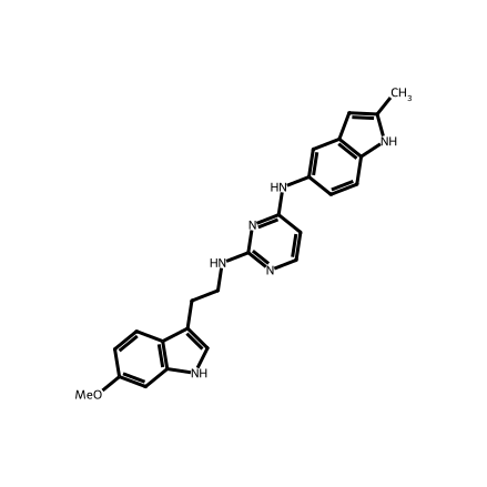 COc1ccc2c(CCNc3nccc(Nc4ccc5[nH]c(C)cc5c4)n3)c[nH]c2c1